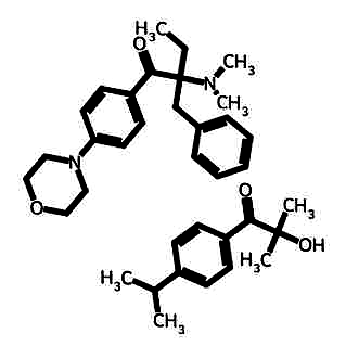 CC(C)c1ccc(C(=O)C(C)(C)O)cc1.CCC(Cc1ccccc1)(C(=O)c1ccc(N2CCOCC2)cc1)N(C)C